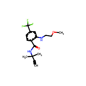 C#CC(C)(C)NC(=O)c1ccc(C(F)(F)F)cc1NCCOC